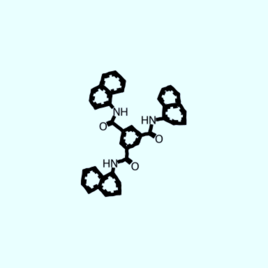 O=C(Nc1cccc2ccccc12)c1cc(C(=O)Nc2cccc3ccccc23)cc(C(=O)Nc2cccc3ccccc23)c1